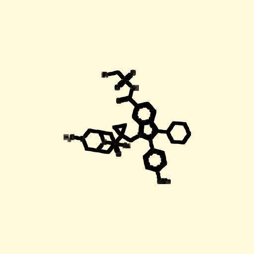 COc1ccc(-c2c(C3CCCCC3)c3ccc(C(=O)NS(=O)(=O)CC(C)C)cc3n2CC2(C(=O)N3C4CN(C)CC3CN(C(C)=O)C4)CC2)cc1